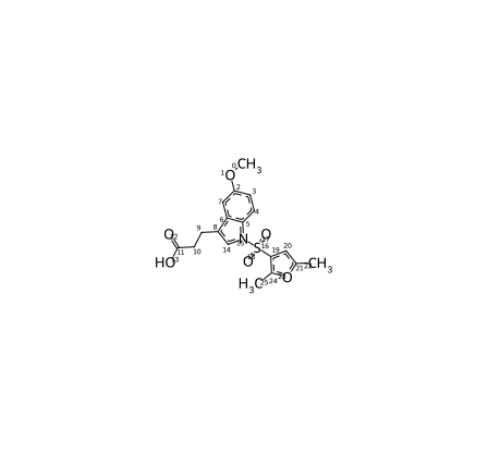 COc1ccc2c(c1)c(CCC(=O)O)cn2S(=O)(=O)c1cc(C)oc1C